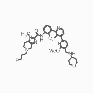 COc1nc(-c2ccnc(-c3cccc(NC(=O)c4nc5c(n4C)CCN(CCCF)C5)c3Cl)c2Cl)ccc1CNC1CCOCC1